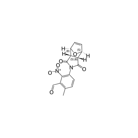 Cc1ccc(N2C(=O)[C@@H]3[C@H](C2=O)[C@H]2C=C[C@@H]3O2)c([N+](=O)[O-])c1C=O